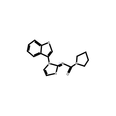 O=C(/N=c1\sccn1-c1csc2ccccc12)N1CCCC1